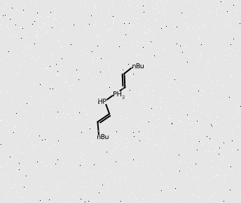 CCCC/C=C/P[PH3]/C=C/CCCC